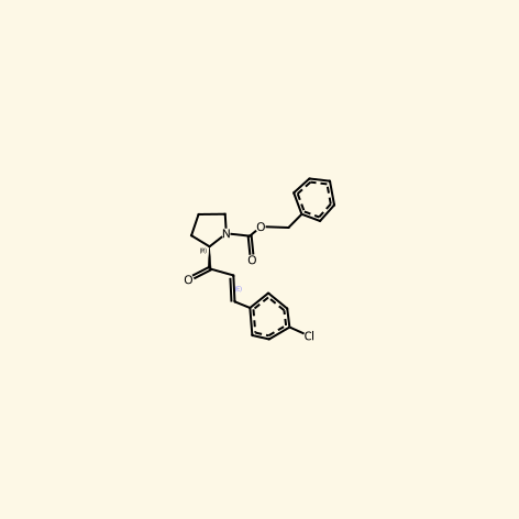 O=C(/C=C/c1ccc(Cl)cc1)[C@H]1CCCN1C(=O)OCc1ccccc1